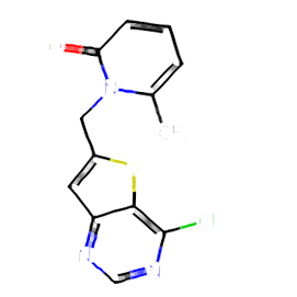 O=c1cccc(C(F)(F)F)n1Cc1cc2ncnc(Cl)c2s1